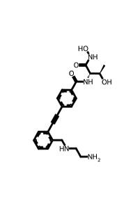 C[C@@H](O)[C@H](NC(=O)c1ccc(C#Cc2ccccc2CNCCN)cc1)C(=O)NO